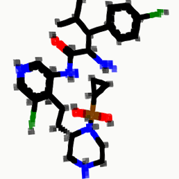 CC(C)C(c1ccc(F)cc1)C(N)C(=O)Nc1cncc(F)c1CC[C@H]1CNCCN1S(=O)(=O)C1CC1